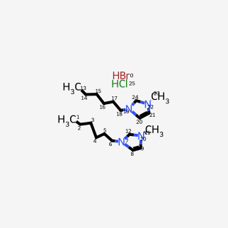 Br.CCCCCCN1C=CN(C)C1.CCCCCCN1C=CN(C)C1.Cl